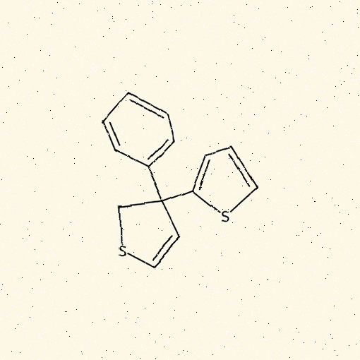 C1=CC(c2ccccc2)(c2cccs2)CS1